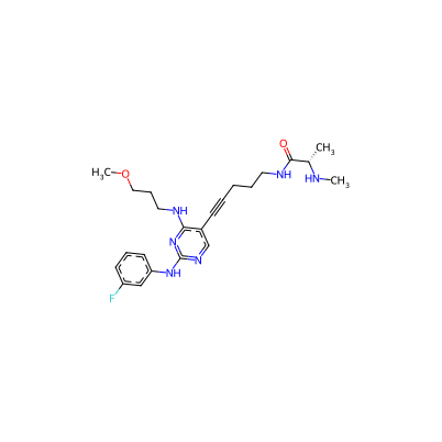 CN[C@@H](C)C(=O)NCCCC#Cc1cnc(Nc2cccc(F)c2)nc1NCCCOC